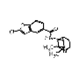 CC1(C)C(NC(=O)c2ccc3oc(Cl)cc3c2)C2CCN1CC2